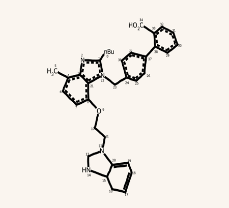 CCCCc1nc2c(C)ccc(OCCN3CNC4CC=CC=C43)c2n1Cc1ccc(-c2ccccc2C(=O)O)cc1